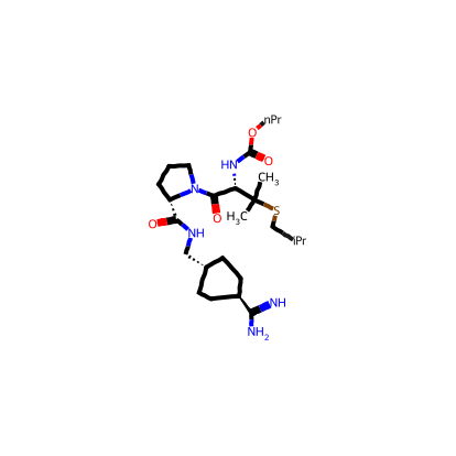 CCCOC(=O)N[C@@H](C(=O)N1CCC[C@H]1C(=O)NC[C@H]1CC[C@H](C(=N)N)CC1)C(C)(C)SCC(C)C